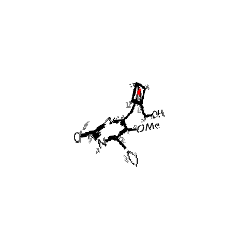 COc1c(Cl)nc(Cl)nc1N1CC2CC1(CO)C2